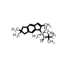 CC1=Cc2cc3c(cc2C1[Si](C)(C)[N]([Ti])C(C)(C)C)CC(C)(C)C3